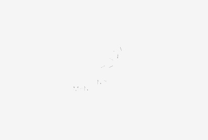 C=C/C(=C\C1=CCC2(CC)CC=C(C3CCCC3)C2=C1)CCC(=S)NCC(C)CNC